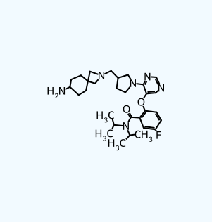 CC(C)N(C(=O)c1cc(F)ccc1Oc1cncnc1N1CCC(CN2CC3(CCC(N)CC3)C2)C1)C(C)C